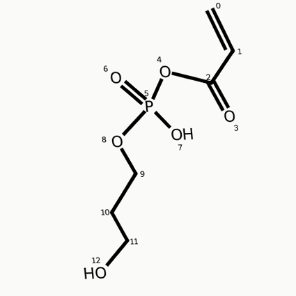 C=CC(=O)OP(=O)(O)OCCCO